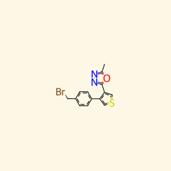 Cc1nnc(-c2cscc2-c2ccc(CBr)cc2)o1